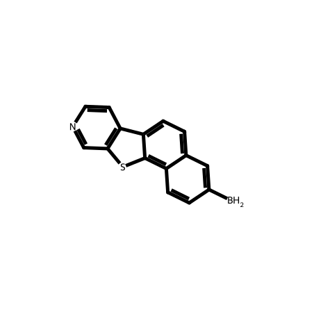 Bc1ccc2c(ccc3c4ccncc4sc23)c1